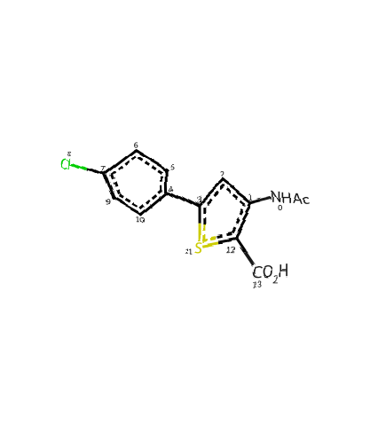 CC(=O)Nc1cc(-c2ccc(Cl)cc2)sc1C(=O)O